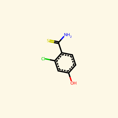 NC(=S)c1ccc(O)cc1Cl